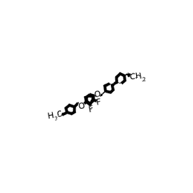 C=C[C@H]1CC[C@H]([C@H]2CC[C@H](COc3ccc(OCC4CCC(CC)CC4)c(F)c3F)CC2)CC1